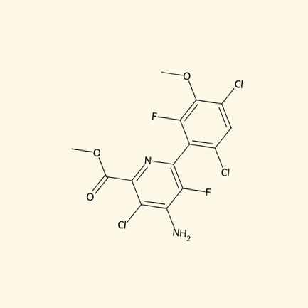 COC(=O)c1nc(-c2c(Cl)cc(Cl)c(OC)c2F)c(F)c(N)c1Cl